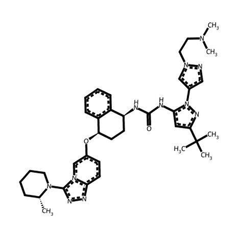 C[C@@H]1CCCCN1c1nnc2ccc(O[C@@H]3CC[C@H](NC(=O)Nc4cc(C(C)(C)C)nn4-c4cnn(CCN(C)C)c4)c4ccccc43)cn12